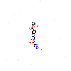 CCOC(=O)c1ccc2c(c1)CCC(CNCC(O)c1ccc(N)nc1)O2